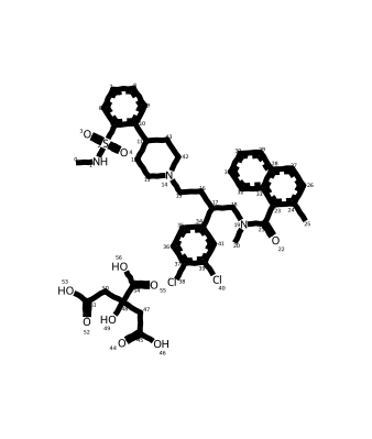 CNS(=O)(=O)c1ccccc1C1CCN(CCC(CN(C)C(=O)c2c(C)ccc3ccccc23)c2ccc(Cl)c(Cl)c2)CC1.O=C(O)CC(O)(CC(=O)O)C(=O)O